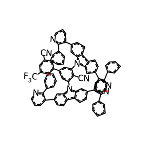 N#Cc1cc(-c2cc(-n3c4cc(-c5cccnc5-c5ccccc5)ccc4c4ccc(-c5cccnc5-c5ccccc5)cc43)c(C#N)c(-n3c4cc(-c5cccnc5-c5ccccc5)ccc4c4ccc(-c5cccnc5-c5ccccc5)cc43)c2)cc(C(F)(F)F)c1